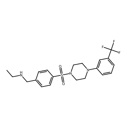 CCNCc1ccc(S(=O)(=O)N2CCN(c3cccc(C(F)(F)F)c3)CC2)cc1